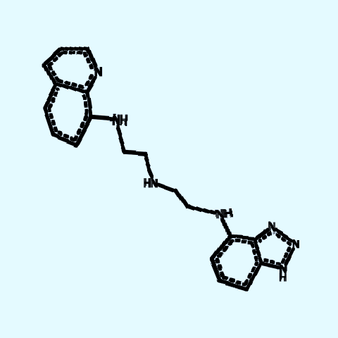 c1cnc2c(NCCNCCNc3cccc4[nH]nnc34)cccc2c1